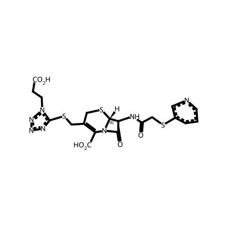 O=C(O)CCn1nnnc1SCC1=C(C(=O)O)N2C(=O)C(NC(=O)CSc3cccnc3)[C@H]2SC1